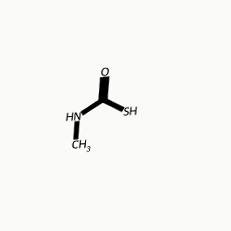 CNC(=O)S